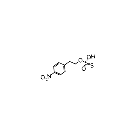 O=[N+]([O-])c1ccc(CCOS(=O)(O)=S)cc1